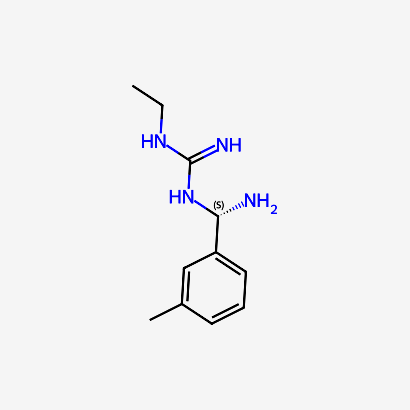 CCNC(=N)N[C@H](N)c1cccc(C)c1